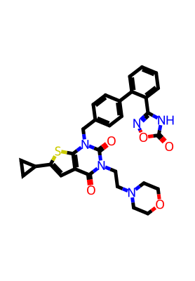 O=c1[nH]c(-c2ccccc2-c2ccc(Cn3c(=O)n(CCN4CCOCC4)c(=O)c4cc(C5CC5)sc43)cc2)no1